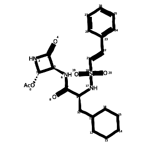 CC(=O)O[C@@H]1NC(=O)[C@H]1NC(=O)[C@H](CC1CCCCC1)NS(=O)(=O)C=Cc1ccccc1